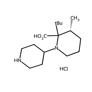 C[C@@H]1CCCN(C2CCNCC2)C1(C(=O)O)C(C)(C)C.Cl